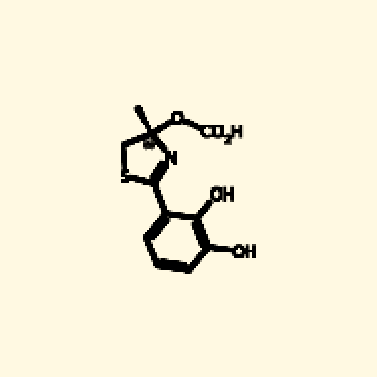 C[C@]1(OC(=O)O)CSC(c2cccc(O)c2O)=N1